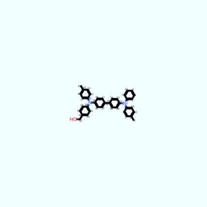 Cc1ccc(N(c2ccccc2)c2ccc(-c3ccc(N(c4ccc(C)cc4)c4ccc(CO)cc4)cc3)cc2)cc1